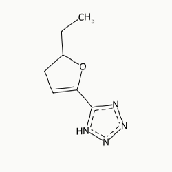 CCC1CC=C(c2nnn[nH]2)O1